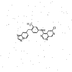 Cc1cc(Nc2ncnc3cnc(Cl)cc23)ccc1Cc1ccn2ncnc2c1